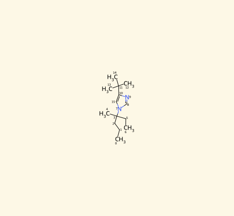 CCCC(C)(CC)n1cnc(C(C)(C)C)c1